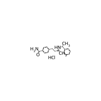 CC(N[C@H](C)CCc1ccc(C(N)=O)cc1)c1ccccc1.Cl